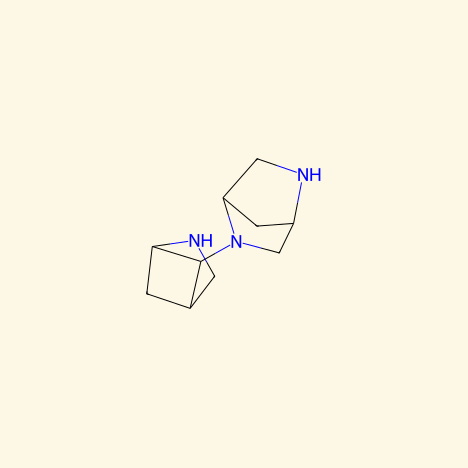 C1NC2CC1C2N1CC2CC1CN2